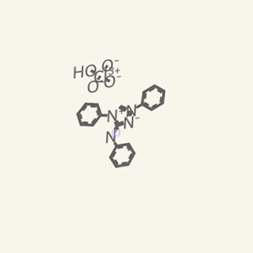 [O-][Cl+3]([O-])([O-])O.c1ccc(/N=c2\[n-]n(-c3ccccc3)c[n+]2-c2ccccc2)cc1